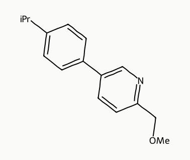 COCc1ccc(-c2ccc(C(C)C)cc2)cn1